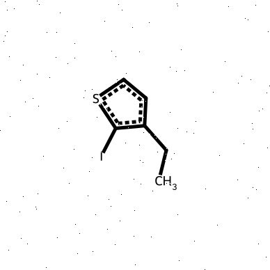 CCc1ccsc1I